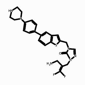 NCC(Cn1ncn(Cc2cc3cc(-c4ccc(N5CCNCC5)cc4)ccc3s2)c1=O)=C(F)F